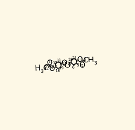 CC(=O)Oc1ccc(OOc2ccc(OC(C)=O)cc2)cc1